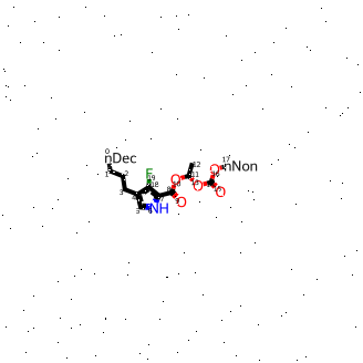 CCCCCCCCCCCCCc1c[nH]c(C(=O)OC(C)OC(=O)OCCCCCCCCC)c1F